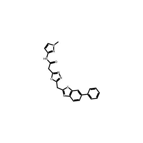 Cn1ccc(NC(=O)Cc2nnc(Cc3nc4ccc(-c5ccccc5)cc4s3)o2)n1